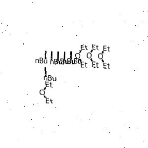 CCCCC.CCCCC.CCCCC.CCCCC.CCCCC.CCCCC.CCOCC.CCOCC.CCOCC.CCOCC